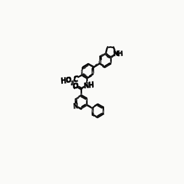 O=C(Nc1cc(-c2ccc3c(c2)CCN3)ccc1C(=O)O)c1cncc(-c2ccccc2)c1